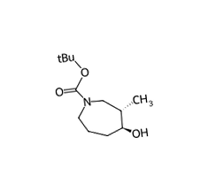 C[C@H]1CN(C(=O)OC(C)(C)C)CCC[C@@H]1O